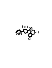 Cl.Clc1ccc2c(c1)CNCc1nnc(C3CCC(c4cccnn4)CC3)n1-2